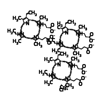 C=CC1=C(C)c2cc3[nH]c(cc4nc(cc5[nH]c(cc1n2)c(C)c5CCC(=O)[O-])C(CCC(=O)[O-])=C4C)c(C)c3C=C.C=CC1=C(C)c2cc3[nH]c(cc4nc(cc5[nH]c(cc1n2)c(C)c5CCC(=O)[O-])C(CCC(=O)[O-])=C4C)c(C)c3C=C.C=CC1=C(C)c2cc3[nH]c(cc4nc(cc5[nH]c(cc1n2)c(C)c5CCC(=O)[O-])C(CCC(=O)[O-])=C4C)c(C)c3C=C.[Cr+3].[Cr+3]